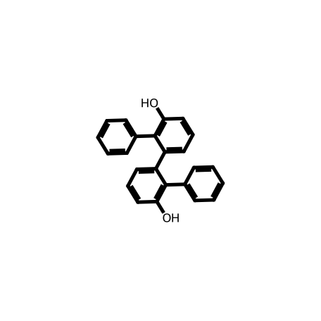 Oc1cccc(-c2cccc(O)c2-c2ccccc2)c1-c1ccccc1